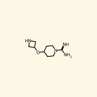 N=C(N)N1CCC(OC2CNC2)CC1